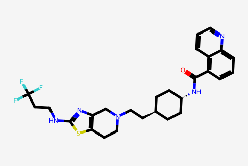 O=C(N[C@H]1CC[C@H](CCN2CCc3sc(NCCC(F)(F)F)nc3C2)CC1)c1cccc2ncccc12